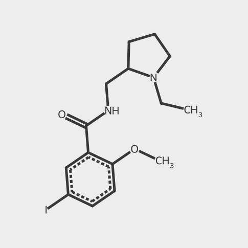 CCN1CCCC1CNC(=O)c1cc(I)ccc1OC